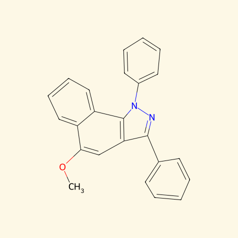 COc1cc2c(-c3ccccc3)nn(-c3ccccc3)c2c2ccccc12